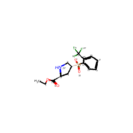 CCOC(=O)[C@@H]1C[C@@H](S(=O)(=O)c2ccccc2C(F)(F)F)CN1